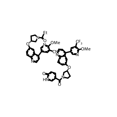 CCC(=O)N1CC[C@H](Oc2ccc3nccc(-c4cnc(OC)c(C#N)c4)c3c2)C1.COc1ncc(-c2ccnc3ccc(O[C@H]4CCN(C(=O)c5ccc(=O)[nH]c5)C4)cc23)cc1C(F)(F)F